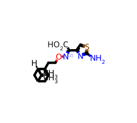 CC1(C)C2CC=C(CCO/N=C(\C(=O)O)c3csc(N)n3)[C@H]1C2